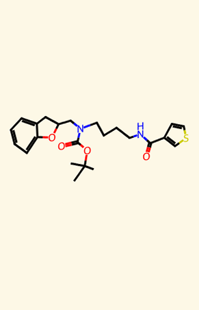 CC(C)(C)OC(=O)N(CCCCNC(=O)c1ccsc1)CC1Cc2ccccc2O1